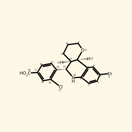 CCc1ccc2c(c1)[C@@H]1OCCC[C@@H]1[C@@H](c1ccc(C(=O)O)cc1Cl)N2